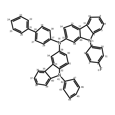 Fc1ccc(-n2c3ccccc3c3ccc(N(c4ccc(-c5ccccc5)cc4)c4ccc5c(c4)c4ccccc4n5-c4ccccc4)cc32)cc1